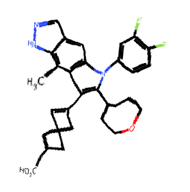 Cc1c2[nH]ncc2cc2c1c(C1=CC3(C1)CC(C(=O)O)C3)c(C1CCOCC1)n2-c1ccc(F)c(F)c1